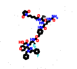 CC(C)C(NC(=O)CCCCCN1C(=O)C=CC1=O)C(=O)N[C@@H](CCCNC(N)=O)C(=O)Nc1ccc(COC(=O)N[C@H](CF)CCN(C(=O)CO)[C@@H](c2nc(-c3cc(F)ccc3F)cn2Cc2ccccc2)C2CCOCC2)cc1